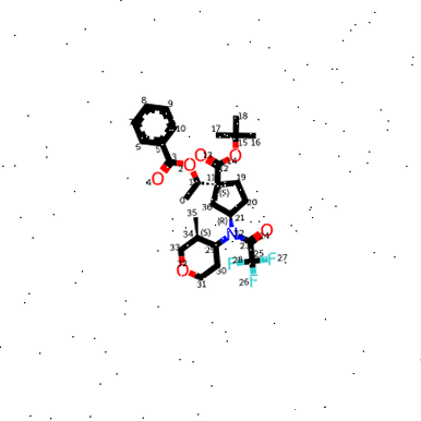 CC(OC(=O)c1ccccc1)[C@]1(C(=O)OC(C)(C)C)CC[C@@H](N(C(=O)C(F)(F)F)C2CCOC[C@H]2C)C1